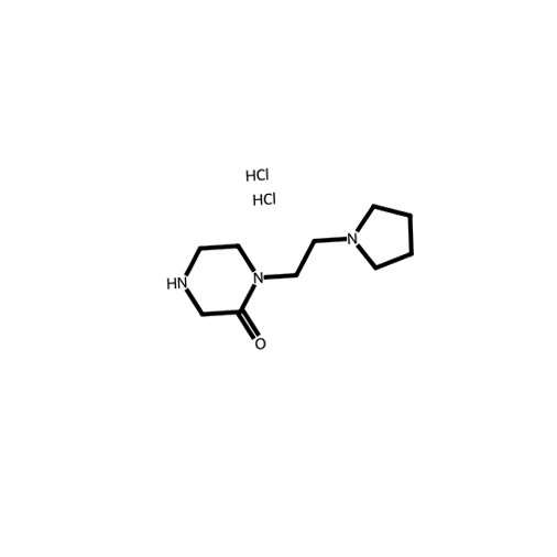 Cl.Cl.O=C1CNCCN1CCN1CCCC1